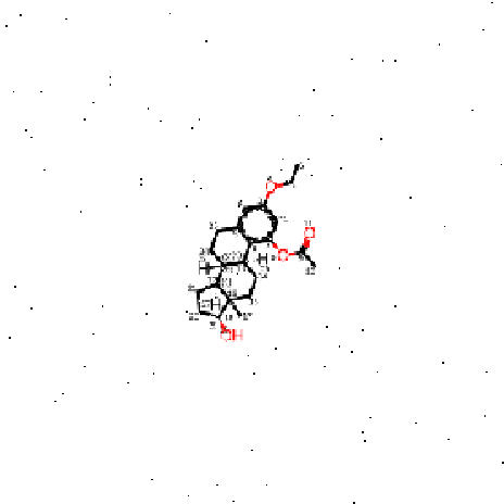 CCOc1cc2c(c(OC(C)=O)c1)[C@H]1CC[C@]3(C)[C@@H](O)CC[C@H]3[C@@H]1CC2